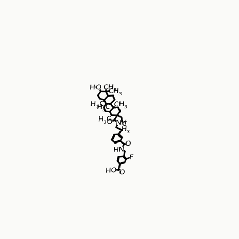 CCCC1(C(=O)NCCc2cccc(C(=O)NCc3ccc(C(=O)O)cc3F)c2)CC[C@]2(C)C(CCC3C4(C)CCC(O)C(C)(C)C4CCC32C)C1C